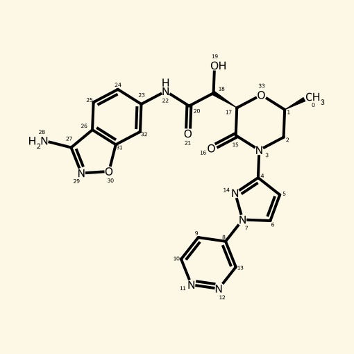 C[C@H]1CN(c2ccn(-c3ccnnc3)n2)C(=O)[C@@H](C(O)C(=O)Nc2ccc3c(N)noc3c2)O1